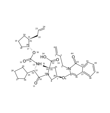 C=CCCn1c(O[C@H]2CN(C(=O)[C@@H](NC(=O)O[C@@H]3CCC[C@H]3CC=C)C3CCCC3)[C@](C)(C(=O)O)C2)cc2ccccc2c1=O